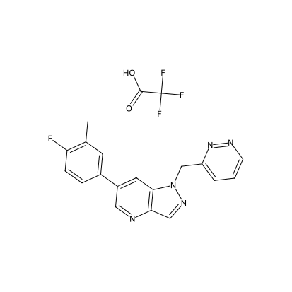 Cc1cc(-c2cnc3cnn(Cc4cccnn4)c3c2)ccc1F.O=C(O)C(F)(F)F